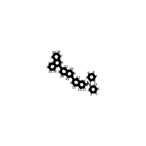 c1ccc(N(c2ccccc2)c2ccc3ccc(-c4ccc5cc(-c6cc7ccccc7c7ccccc67)ccc5c4)cc3c2)cc1